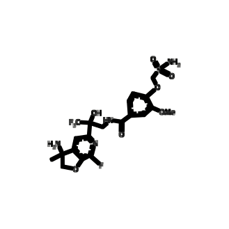 COc1cc(C(=O)NCC(O)(c2cc3c(c(F)n2)OCC3(C)N)C(F)(F)F)ccc1OCS(N)(=O)=O